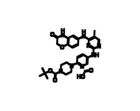 Cc1cnc(Nc2ccc(N3CCN(C(=O)OC(C)(C)C)CC3)nc2)nc1Nc1ccc2c(c1)NC(=O)CO2.O=CO